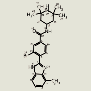 Cc1cccc2[nH]c(-c3ccc(C(=O)NC4CC(C)(C)NC(C)(C)C4)cc3Br)nc12